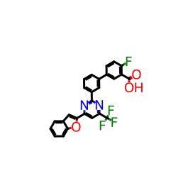 O=C(O)c1cc(-c2cccc(-c3nc(-c4cc5ccccc5o4)cc(C(F)(F)F)n3)c2)ccc1F